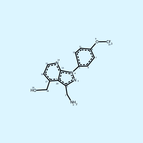 NCc1nn(-c2ccc(OC(F)(F)F)cc2)c2nccc(CO)c12